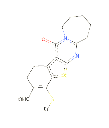 CCSC1=C(C=O)CCc2c1sc1nc3n(c(=O)c21)CCCCC3